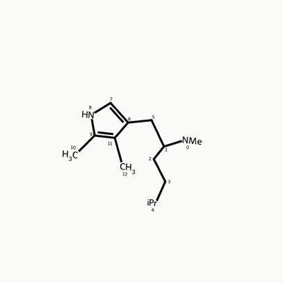 CNC(CCC(C)C)Cc1c[nH]c(C)c1C